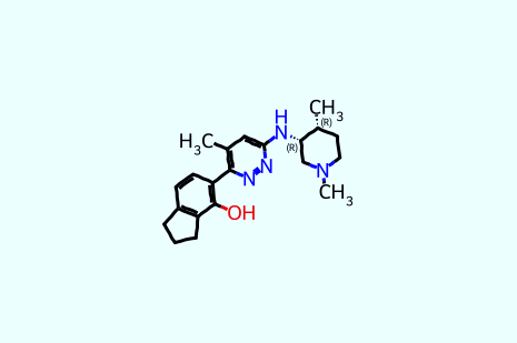 Cc1cc(N[C@H]2CN(C)CC[C@H]2C)nnc1-c1ccc2c(c1O)CCC2